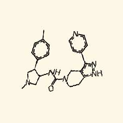 Cc1ccc([C@@H]2CN(C)CC2NC(=O)N2CCc3[nH]nc(-c4ccncc4)c3C2)cc1